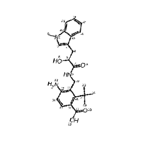 Cn1cc(CC(O)C(=O)NCc2c(N)ccc(C(=O)O)c2C(C)(C)C)c2ccccc21